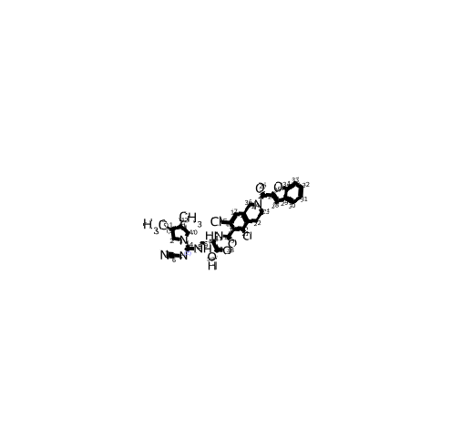 C[C@@H]1CN(/C(=N\C#N)NC[C@H](NC(=O)c2c(Cl)cc3c(c2Cl)CCN(C(=O)c2cc4ccccc4o2)C3)C(=O)O)C[C@H]1C